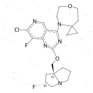 Fc1c(Cl)ncc2c(N3CCOCCC34CC4)nc(OC[C@@]34CCCN3C[C@H](F)C4)nc12